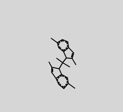 CC1=Cc2ccc(C)cc2C1C(C)(C)C1C(C)=Cc2ccc(C)cc21